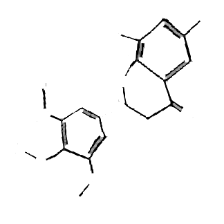 COc1cc([C@H]2CC(=O)c3cc(O)cc(O)c3O2)cc(OC)c1OC